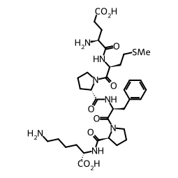 CSCC[C@H](NC(=O)[C@@H](N)CCC(=O)O)C(=O)N1CCC[C@H]1C(=O)N[C@@H](Cc1ccccc1)C(=O)N1CCC[C@H]1C(=O)N[C@@H](CCCCN)C(=O)O